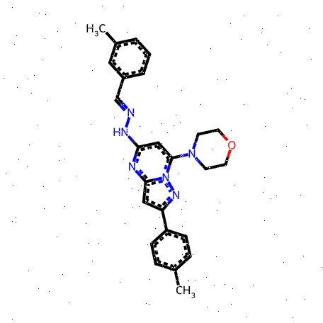 Cc1ccc(-c2cc3nc(N/N=C/c4cccc(C)c4)cc(N4CCOCC4)n3n2)cc1